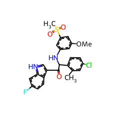 COc1cc(NC(C(=O)c2c[nH]c3cc(F)ccc23)c2ccc(Cl)cc2C)cc(S(C)(=O)=O)c1